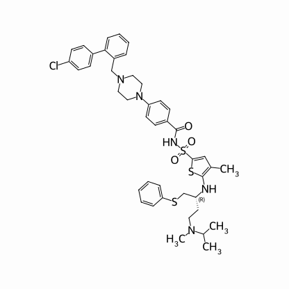 Cc1cc(S(=O)(=O)NC(=O)c2ccc(N3CCN(Cc4ccccc4-c4ccc(Cl)cc4)CC3)cc2)sc1N[C@H](CCN(C)C(C)C)CSc1ccccc1